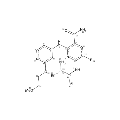 CCC[C@@H](Nc1nc(Nc2ccnc(OCCOC)c2)c(C(N)=O)cc1F)[C@@H](N)CC